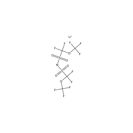 O=S(=O)([N-]S(=O)(=O)C(F)(F)OC(F)(F)F)C(F)(F)OC(F)(F)F.[Li+]